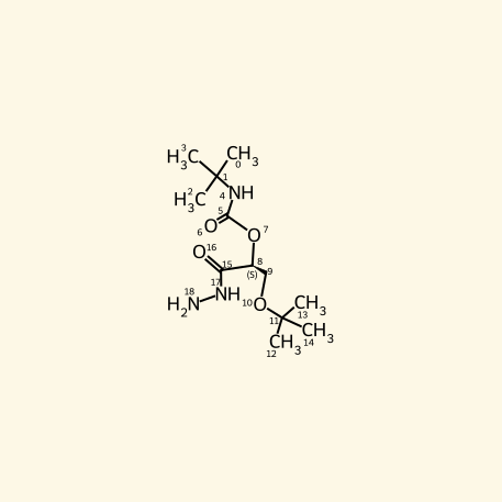 CC(C)(C)NC(=O)O[C@@H](COC(C)(C)C)C(=O)NN